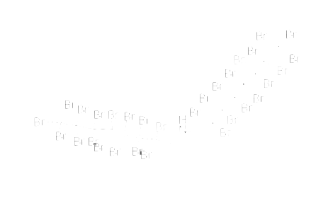 BrC(Br)(Br)C(Br)(Br)C(Br)(Br)C(Br)(Br)C(Br)(Br)C(Br)(Br)C(Br)(Br)CNCC(Br)(Br)C(Br)(Br)C(Br)(Br)C(Br)(Br)C(Br)(Br)C(Br)(Br)C(Br)(Br)Br